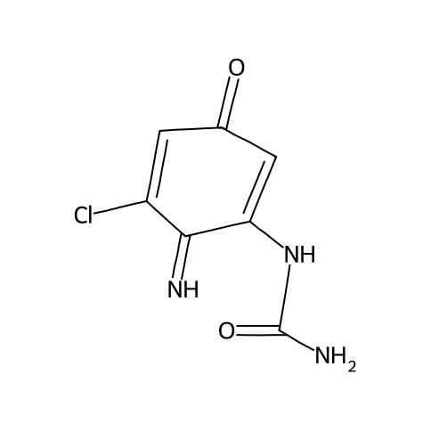 N=C1C(Cl)=CC(=O)C=C1NC(N)=O